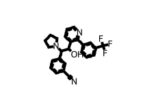 N#Cc1cccc(C(C(O)c2cccnc2-c2cccc(C(F)(F)F)c2)N2CCCC2)c1